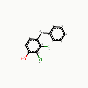 Oc1ccc([Te]c2ccccc2)c(Cl)c1Cl